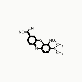 CN(C)c1ccc2c(c1[N+](=O)[O-])Sc1cc(=C(C#N)C#N)ccc1=N2